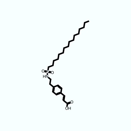 CCCCCCCCCCCCCCCCS(=O)(=O)NCCc1ccc(C=CC(=O)O)cc1